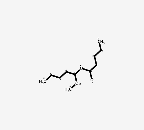 CCCCC([O])OC(CCCC)OC